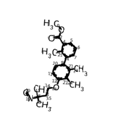 COC(=O)c1cccc(-c2ccc(OCCC(C)(C)N=O)c(C)c2C)c1C